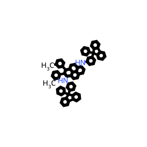 Cc1cccc(-c2c(Nc3cccc(C4(c5ccccc5)c5ccccc5-c5ccccc54)c3)c3ccc4ccc(Nc5cccc(C6(c7ccccc7)c7ccccc7-c7ccccc76)c5)c5ccc(c2-c2cccc(C)c2)c3c45)c1